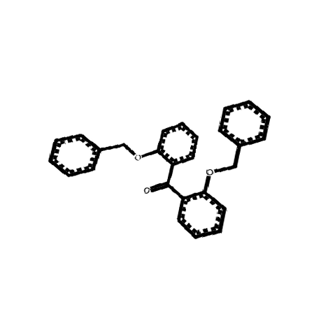 O=C(c1ccccc1OCc1ccccc1)c1ccccc1OCc1ccccc1